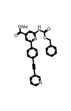 COC(=O)c1cc(NC(=O)OCc2ccccc2)nc(-c2ccc(C#Cc3cccnc3)cc2)c1